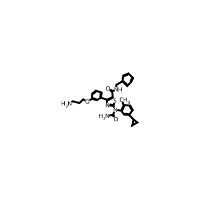 Cc1ccc(C2CC2)cc1N(C(N)=O)c1nc(-c2cccc(OCCCN)c2)c(C(=O)NCc2ccccc2)s1